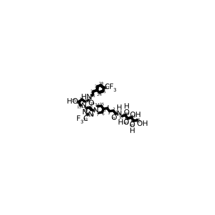 O=C(CCCC1CCN(c2cc(N3C[C@H](O)C[C@H]3C(=O)NCCc3ccc(C(F)(F)F)cc3)nc(C(F)(F)F)n2)CC1)NC[C@H](O)[C@@H](O)[C@H](O)[C@H](O)CO